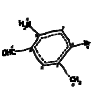 Cc1cc(C=O)c(N)cc1Br